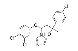 CC(O)(CC(Oc1ccc(Cl)c(Cl)c1)n1ccnc1)c1ccc(Cl)cc1